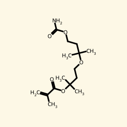 C=C(C)C(=O)OC(C)(C)CCOC(C)(C)CCOC(N)=O